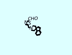 O=Cc1ncc(CN2CCC3(C=Cc4ccccc43)CC2)s1